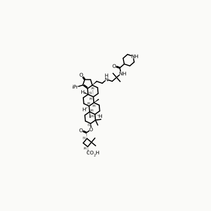 CC(C)C1=C2[C@H]3CC[C@@H]4[C@@]5(C)CC[C@H](OC(=O)[C@H]6C[C@@H](C(=O)O)C6(C)C)C(C)(C)[C@@H]5CC[C@@]4(C)[C@]3(C)CC[C@@]2(CCNCC(C)(C)NC(=O)C2CCNCC2)CC1=O